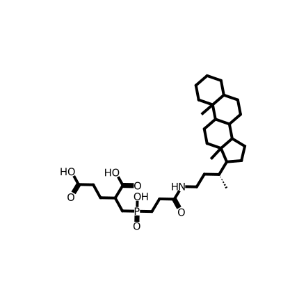 C[C@H](CCNC(=O)CCP(=O)(O)CC(CCC(=O)O)C(=O)O)C1CCC2C3CCC4CCCCC4(C)C3CCC21C